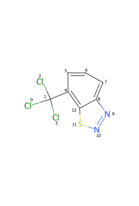 ClC(Cl)(Cl)c1cccc2nnsc12